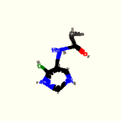 COC(=O)Nc1cncnc1Cl